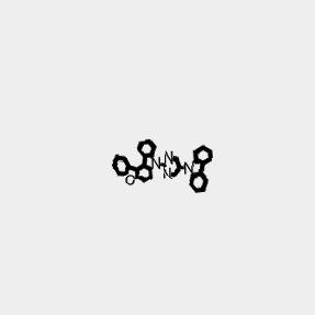 c1ccc2c(c1)oc1ccc3c(c4ccccc4n3-c3ncc(-n4c5ccccc5c5ccccc54)cn3)c12